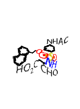 CC(=O)Nc1ccc(S(=O)(=O)NC(C=O)CC(=O)O)c(OCCc2cccc3ccccc23)c1